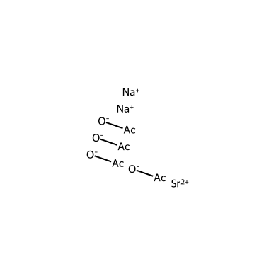 CC(=O)[O-].CC(=O)[O-].CC(=O)[O-].CC(=O)[O-].[Na+].[Na+].[Sr+2]